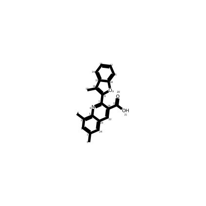 Cc1cc(C)c2nc(-c3oc4ccccc4c3C)c(C(=O)O)cc2c1